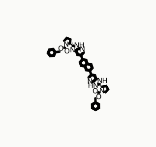 O=C(OCc1ccccc1)N1CCC[C@H]1c1nc2cc(-c3ccc4cc(-c5cnc6c(c5)NC([C@@H]5CCCN5C(=O)OCc5ccccc5)N6)ccc4c3)cnc2[nH]1